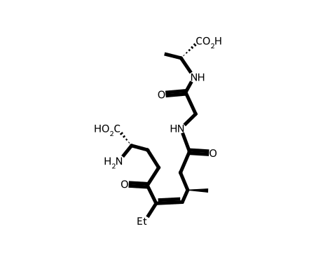 CCC(=C[C@H](C)CC(=O)NCC(=O)N[C@H](C)C(=O)O)C(=O)CC[C@H](N)C(=O)O